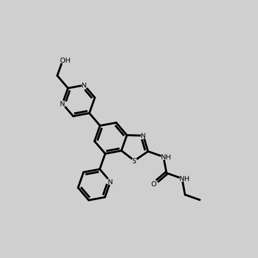 CCNC(=O)Nc1nc2cc(-c3cnc(CO)nc3)cc(-c3ccccn3)c2s1